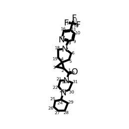 O=C(C1CC12CCN(c1ccc(C(F)(F)F)cn1)CC2)N1CCN(C2CCCCC2)CC1